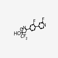 OC1(C(F)(F)F)CC(c2ccc(-c3ccnc(F)c3)c(F)c2)=NO1